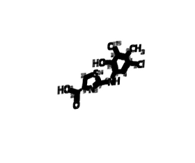 Cc1c(Cl)cc(NC2=N[C@H](C(=O)O)CS2)c(O)c1Cl